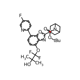 CC(C)(C)OC(=O)N1C2CC1CN(c1nc3c(OC(F)(F)C(C)(C)O)ccc(-c4ccc(F)cn4)c3o1)C2